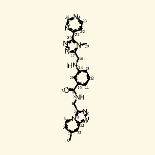 Cc1ccn2c(CNC(=O)c3cccc(NCc4nnc(-c5ccncn5)n4C)c3)nnc2c1